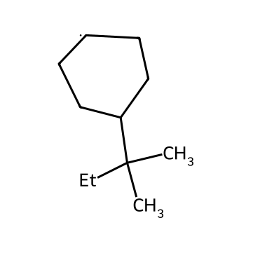 CCC(C)(C)C1CC[CH]CC1